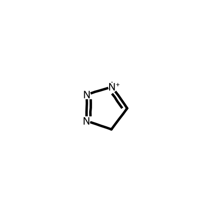 C1=[N+]N=NC1